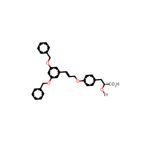 CCO[C@@H](Cc1ccc(OCC=Cc2cc(OCc3ccccc3)cc(OCc3ccccc3)c2)cc1)C(=O)O